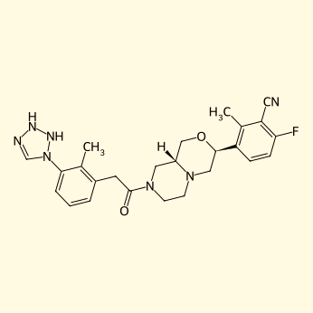 Cc1c(CC(=O)N2CCN3C[C@H](c4ccc(F)c(C#N)c4C)OC[C@H]3C2)cccc1N1C=NNN1